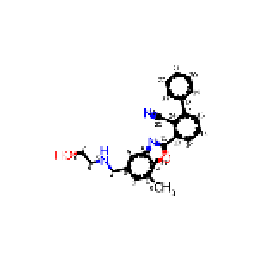 Cc1cc(CNCCO)cc2nc(-c3cccc(-c4ccccc4)c3C#N)oc12